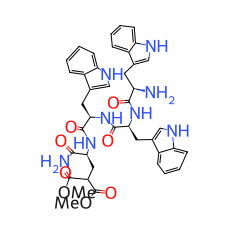 COC(=O)C(C[C@H](NC(=O)[C@@H](Cc1c[nH]c2ccccc12)NC(=O)[C@H](Cc1c[nH]c2ccccc12)NC(=O)[C@H](N)Cc1c[nH]c2ccccc12)C(N)=O)C(=O)OC